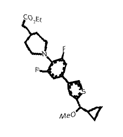 CCOC(=O)CC1CCN(c2c(F)cc(-c3csc(C(OC)C4CC4)c3)cc2F)CC1